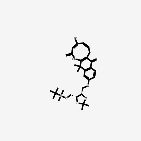 C=C1/C=C(Br)\C=C/CC2=C(N1)C(C)(C)c1cc(OC[C@H]3OC(C)(C)O[C@@H]3CO[Si](C)(C)C(C)(C)C)ccc1C2=O